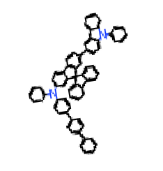 c1ccc(-c2ccc(-c3ccc(N(c4ccccc4)c4ccc5c(c4)C4(c6ccccc6-c6ccccc64)c4cc(-c6ccc7c(c6)c6ccccc6n7-c6ccccc6)ccc4-5)cc3)cc2)cc1